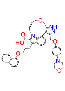 O=C(O)c1c(CCCOc2cccc3ccccc23)c2cccc3c2n1C/C=C\COCc1[nH]nc(COc2ccc(N4CCOCC4)cc2)c1-3